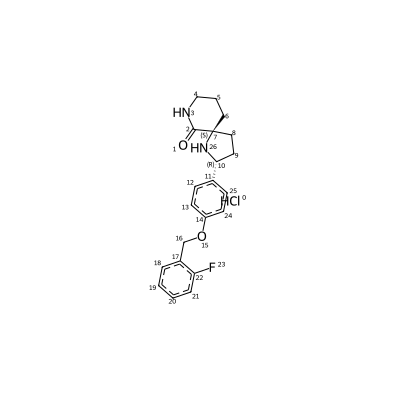 Cl.O=C1NCCC[C@]12CC[C@H](c1ccc(OCc3ccccc3F)cc1)N2